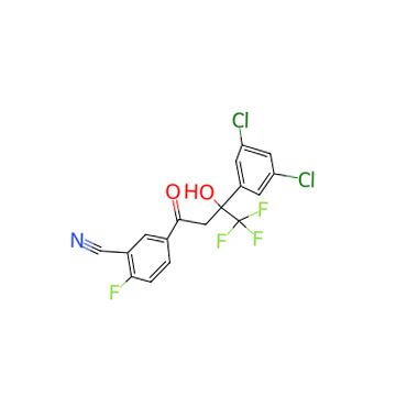 N#Cc1cc(C(=O)CC(O)(c2cc(Cl)cc(Cl)c2)C(F)(F)F)ccc1F